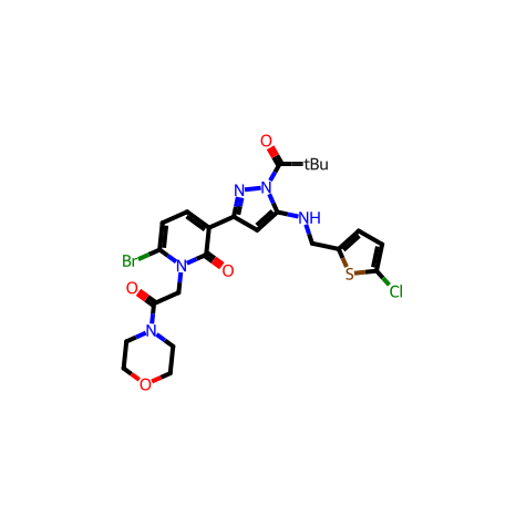 CC(C)(C)C(=O)n1nc(-c2ccc(Br)n(CC(=O)N3CCOCC3)c2=O)cc1NCc1ccc(Cl)s1